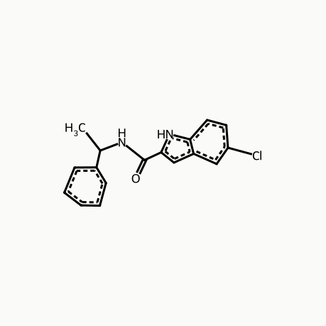 CC(NC(=O)c1cc2cc(Cl)ccc2[nH]1)c1ccccc1